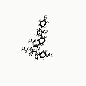 CC(=O)c1ccc(Nc2nc(-c3cccc(N4CCN(c5ccc(F)cc5)C4=O)c3C)cn(C)c2=O)cc1